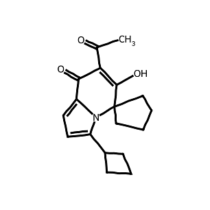 CC(=O)C1=C(O)C2(CCCC2)n2c(ccc2C2CCC2)C1=O